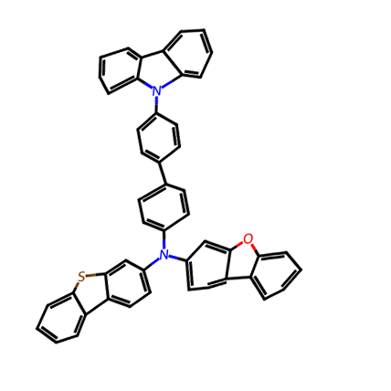 c1ccc2c(c1)oc1cc(N(c3ccc(-c4ccc(-n5c6ccccc6c6ccccc65)cc4)cc3)c3ccc4c(c3)sc3ccccc34)ccc12